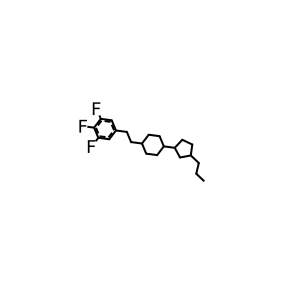 CCCC1CCC(C2CCC(CCc3cc(F)c(F)c(F)c3)CC2)C1